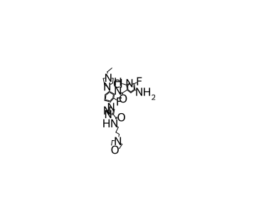 CCN1CCN(c2ccc(-n3cc(C(=O)NCCCN4CCOCC4)nn3)c(F)c2NC(=O)c2cc(N)c(F)nc2Cl)CC1